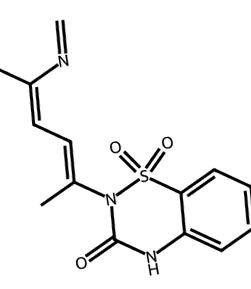 C=N/C(C)=C\C=C(/C)N1C(=O)Nc2ccccc2S1(=O)=O